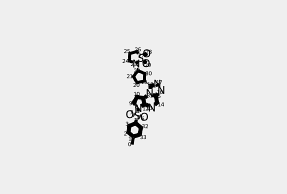 Cc1ccc(S(=O)(=O)n2ccc3c2ncc2nnc([C@@H]4CC[C@H](N5CCCS5(=O)=O)C4)n23)cc1